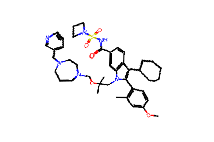 COc1ccc(-c2c(C3CCCCC3)c3ccc(C(=O)NS(=O)(=O)N4CCC4)cc3n2CC(C)(C)OCN2CCCN(Cc3cccnc3)CC2)c(C)c1